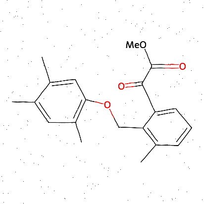 COC(=O)C(=O)c1cccc(C)c1COc1cc(C)c(C)cc1C